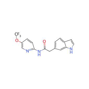 O=C(Cc1ccc2cc[nH]c2c1)Nc1ccc(OC(F)(F)F)cn1